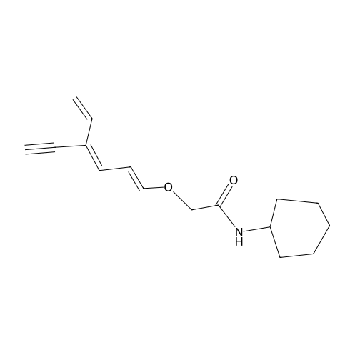 C#C/C(C=C)=C/C=C/OCC(=O)NC1CCCCC1